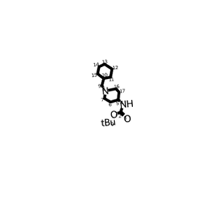 CC(C)(C)OC(=O)NC1CCN(CC2CCCCC2)CC1